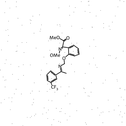 CO/N=C(/C(=O)OC)c1ccccc1OC/N=C(\C)c1cccc(C(F)(F)F)c1